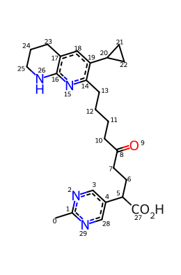 Cc1ncc(C(CCC(=O)CCCCc2nc3c(cc2C2CC2)CCCN3)C(=O)O)cn1